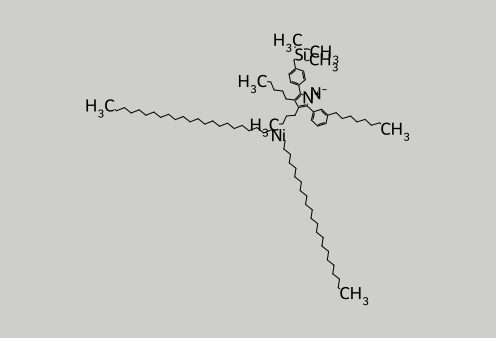 CCCCCCCCCCCCCCCCCCCCCC[CH2][Ni][CH2]CCCCCCCCCCCCCCCCCCCCCC.CCCCCCCCc1cccc(C2=C(CCCC)C(CCCCC)=C(c3ccc(C[Si](CC)(CC)CC)cc3)[N+]2=[N-])c1